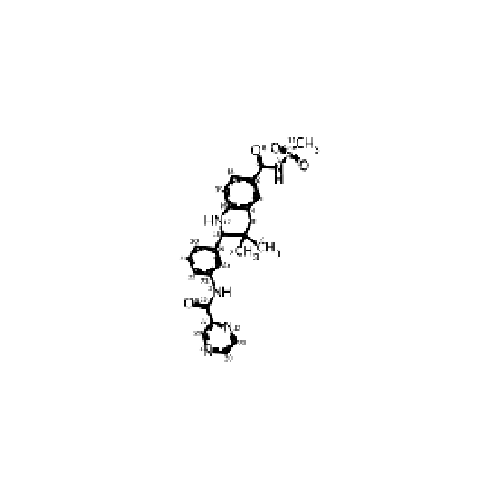 CC1(C)Cc2cc(C(=O)NS(C)(=O)=O)ccc2NC1c1cccc(NC(=O)c2cnccn2)c1